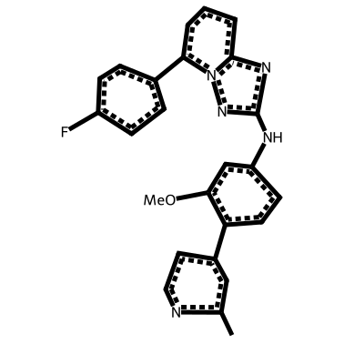 COc1cc(Nc2nc3cccc(-c4ccc(F)cc4)n3n2)ccc1-c1ccnc(C)c1